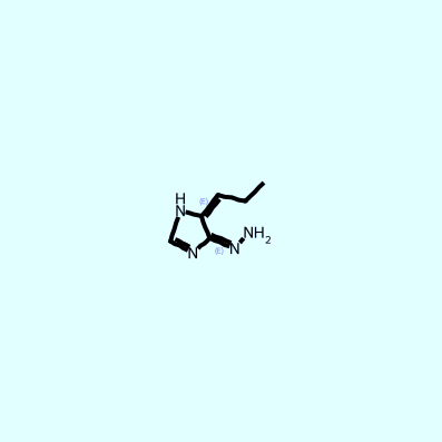 CC/C=C1/NC=N/C1=N/N